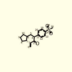 C=CC(=O)C(CC1CCCC1)c1ccc(S(C)(=O)=O)cc1